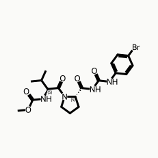 COC(=O)N[C@H](C(=O)N1CCC[C@H]1C(=O)NC(=O)Nc1ccc(Br)cc1)C(C)C